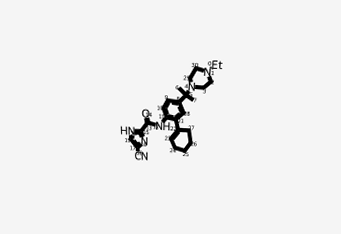 CCN1CCN(C(C)(C)c2ccc(NC(=O)c3nc(C#N)c[nH]3)c(C3=CCCCC3)c2)CC1